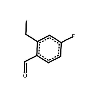 [CH2]Cc1cc(F)ccc1C=O